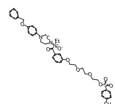 CC[N+]([O-])(C(=O)c1cccc(OCCOCCOCCOS(=O)(=O)c2ccc(C)cc2)c1)N1CCN(c2ccc(OCc3ccccc3)cc2)CC1